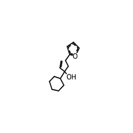 C=CC(O)(CCc1ccco1)C1CCCCC1